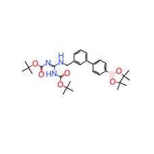 CC(C)(C)OC(=O)/N=C(/NCc1cccc(-c2ccc(B3OC(C)(C)C(C)(C)O3)cc2)c1)NC(=O)OC(C)(C)C